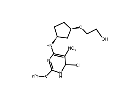 CCCSC1=NC(N[C@H]2CC[C@@H](OCCO)C2)=C([N+](=O)[O-])C(Cl)N1